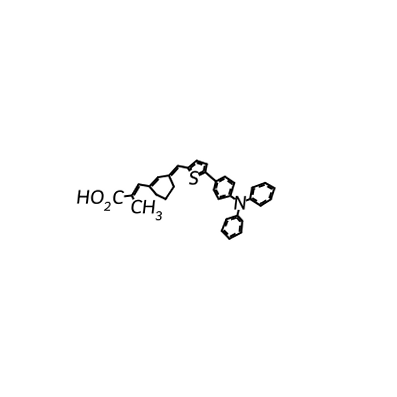 C/C(=C\C1=CC(=C/c2ccc(-c3ccc(N(c4ccccc4)c4ccccc4)cc3)s2)/CCC1)C(=O)O